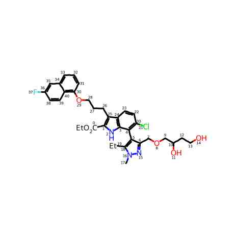 CCOC(=O)c1[nH]c2c(-c3c(COCC(O)CCO)nn(C)c3CC)c(Cl)ccc2c1CCCOc1cccc2cc(F)ccc12